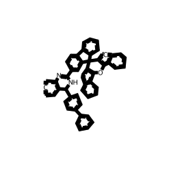 c1ccc(-c2ccc(C3NC(c4ccc5c(c4)C4(c6ccccc6-5)c5ccc6ccccc6c5Oc5c4ccc4ccccc54)=Nc4ccccc43)cc2)cc1